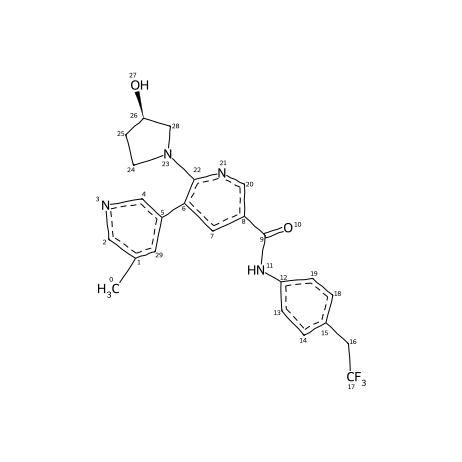 Cc1cncc(-c2cc(C(=O)Nc3ccc(CC(F)(F)F)cc3)cnc2N2CC[C@@H](O)C2)c1